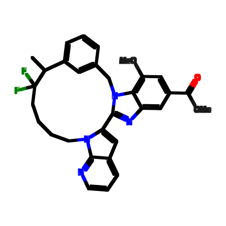 COC(=O)c1cc(OC)c2c(c1)nc1n2Cc2cccc(c2)C(C)C(F)(F)CCCCn2c-1cc1cccnc12